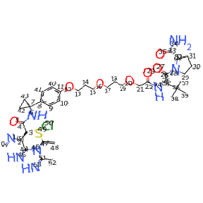 C=N[C@@H](CC(=O)NC1(c2ccc(OCCCOCCCOCC(=O)N[C@H](C(=O)N3CCC[C@H]3C(N)=O)C(C)(C)C)cc2)CC1)C(=N)N(C(=C)SCl)C(C)=N